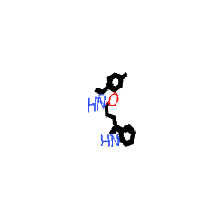 Cc1ccc(C(C)NC(=O)CCc2c[nH]c3ccccc23)cc1